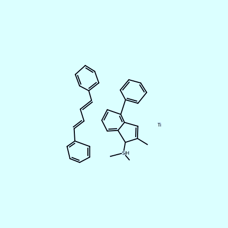 C(C=Cc1ccccc1)=Cc1ccccc1.CC1=Cc2c(-c3ccccc3)cccc2C1[SiH](C)C.[Ti]